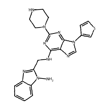 Nn1c(CNc2nc(N3CCNCC3)nc3c2ncn3-c2ccsc2)nc2ccccc21